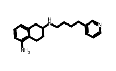 Nc1cccc2c1CCC(NCCCCc1cccnc1)C2